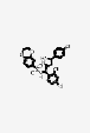 O=S(=O)(NC(C1=NNC(c2ccc(Cl)cc2)C1)c1ccc(Cl)cc1Cl)c1ccc2c(c1)OCCO2